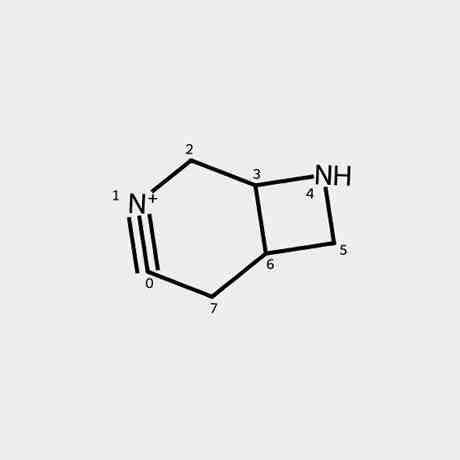 C1#[N+]CC2NCC2C1